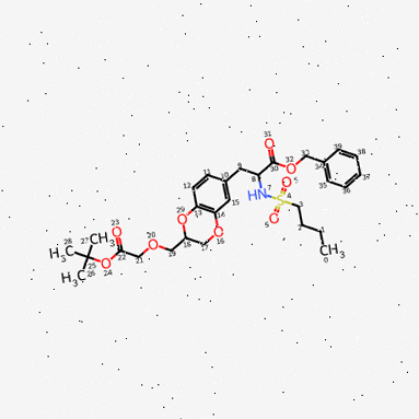 CCCCS(=O)(=O)NC(Cc1ccc2c(c1)OCC(COCC(=O)OC(C)(C)C)O2)C(=O)OCc1ccccc1